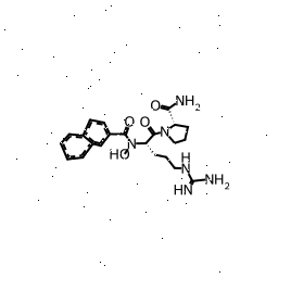 N=C(N)NCCC[C@@H](C(=O)N1CCC[C@H]1C(N)=O)N(O)C(=O)c1ccc2ccccc2c1